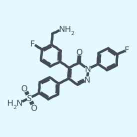 NCc1cc(-c2c(-c3ccc(S(N)(=O)=O)cc3)cnn(-c3ccc(F)cc3)c2=O)ccc1F